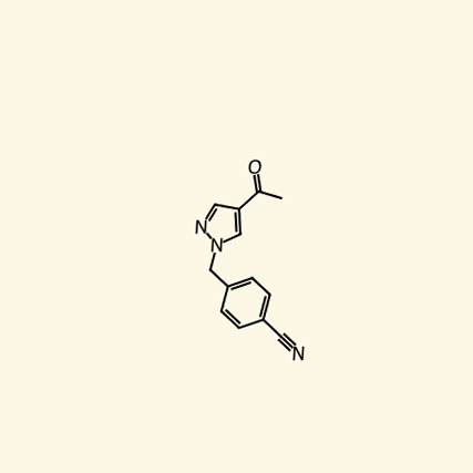 CC(=O)c1cnn(Cc2ccc(C#N)cc2)c1